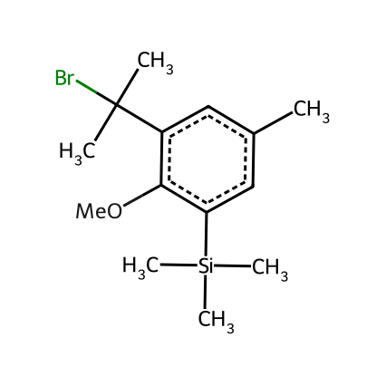 COc1c(C(C)(C)Br)cc(C)cc1[Si](C)(C)C